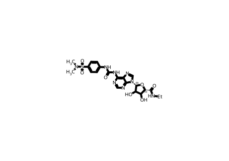 CCNC(=O)[C@H]1O[C@@H](n2cnc3c(NC(=O)Nc4ccc(S(=O)(=O)N(C)C)cc4)ncnc32)C(O)C1O